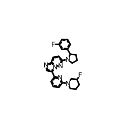 Fc1cccc(C2CCCN2c2ccc3ncc(-c4cccc(N5CCCC(F)C5)n4)n3n2)c1